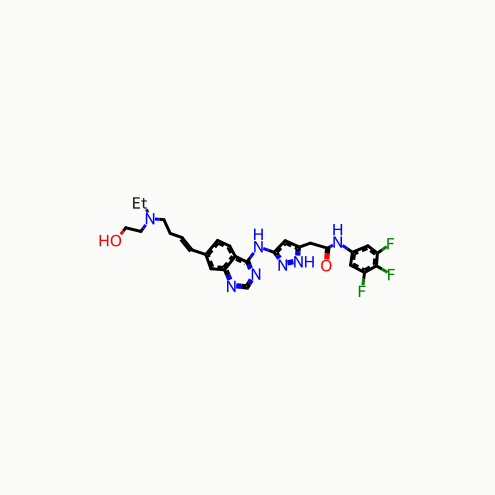 CCN(CCO)CC/C=C/c1ccc2c(Nc3cc(CC(=O)Nc4cc(F)c(F)c(F)c4)[nH]n3)ncnc2c1